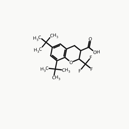 CC(C)(C)c1cc2c(c(C(C)(C)C)c1)OC(C(F)(F)F)C(C(=O)O)C2